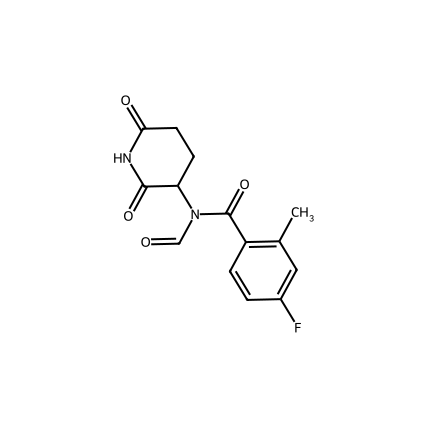 Cc1cc(F)ccc1C(=O)N(C=O)C1CCC(=O)NC1=O